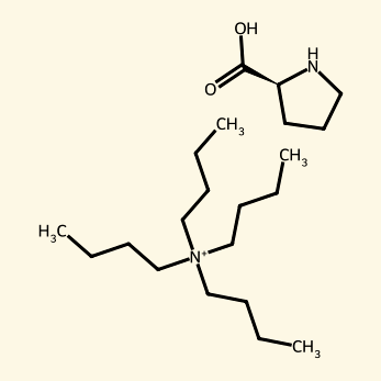 CCCC[N+](CCCC)(CCCC)CCCC.O=C(O)[C@@H]1CCCN1